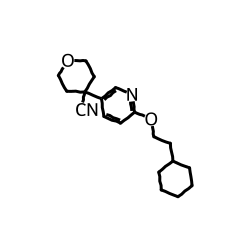 N#CC1(c2ccc(OCCC3CCCCC3)nc2)CCOCC1